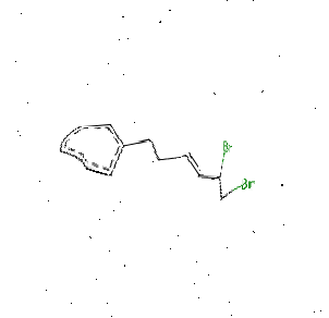 BrCC(Br)C=CCCc1ccccc1